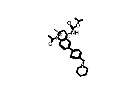 CC(=O)N1c2ccc(-c3ccc(CN4CCCCC4)cc3)cc2[C@H](NC(=O)OC(C)C)C[C@@H]1C